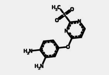 CS(=O)(=O)c1nccc(Oc2ccc(N)c(N)c2)n1